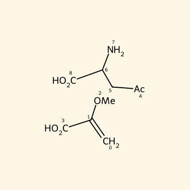 C=C(OC)C(=O)O.CC(=O)CC(N)C(=O)O